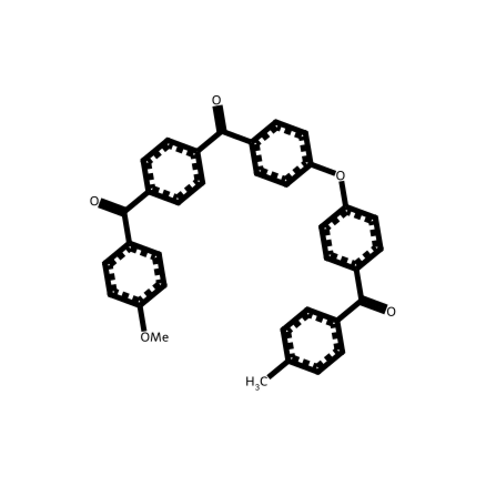 COc1ccc(C(=O)c2ccc(C(=O)c3ccc(Oc4ccc(C(=O)c5ccc(C)cc5)cc4)cc3)cc2)cc1